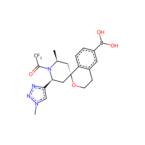 C[C@H]1C[C@@]2(C[C@@H](c3cn(C)nn3)N1C(=O)C(F)(F)F)OCCc1cc(B(O)O)ccc12